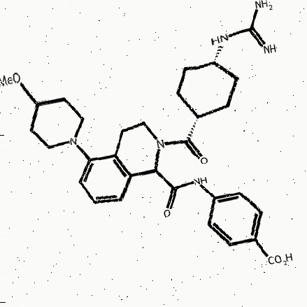 COC1CCN(c2cccc3c2CCN(C(=O)[C@H]2CC[C@@H](NC(=N)N)CC2)C3C(=O)Nc2ccc(C(=O)O)cc2)CC1